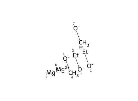 CC[O-].CC[O-].C[O-].C[O-].[Mg+2].[Mg+2]